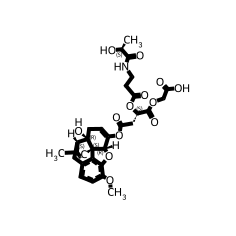 COc1ccc2c3c1O[C@H]1C(OC(=O)C[C@H](OC(=O)CCNC(=O)[C@H](C)O)C(=O)OCC(=O)O)=CC[C@@]4(O)[C@@H](C2)C(C)CC[C@]314